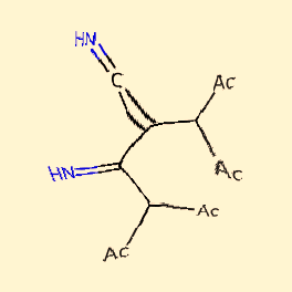 CC(=O)C(C(=N)C(=C=N)C(C(C)=O)C(C)=O)C(C)=O